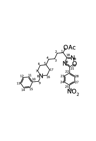 CC(=O)OC(CCCC1CCN(Cc2ccccc2)CC1)c1noc(-c2ccc([N+](=O)[O-])cc2)n1